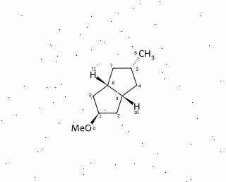 CO[C@@H]1C[C@H]2C[C@@H](C)C[C@H]2C1